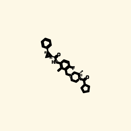 Cc1c(NC(=O)[C@@H]2C[C@H]2c2ccccc2)ccc(F)c1CN1CCN(C(=O)C2CCCC2)[C@@H](C)C1